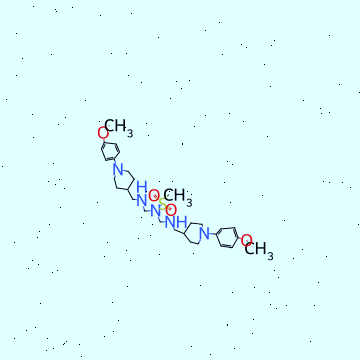 COc1ccc(N2CCC(CNCN(CNCC3CCN(c4ccc(OC)cc4)CC3)S(C)(=O)=O)CC2)cc1